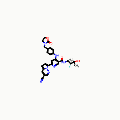 CC(C)(O)[C@H](F)CNC(=O)c1cnc(-c2ccc3cc(C#N)cnn23)cc1Nc1ccc(CN2CCOC2=O)cc1